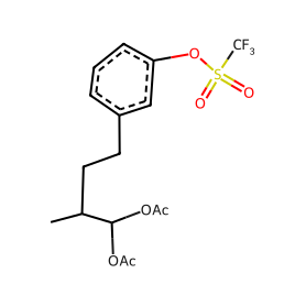 CC(=O)OC(OC(C)=O)C(C)CCc1cccc(OS(=O)(=O)C(F)(F)F)c1